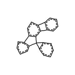 c1ccc2c(c1)-c1ccc3c(c1-2)C1(c2ccccc2-3)c2ccccc21